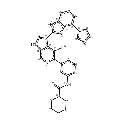 O=C(Nc1cncc(-c2ncc3[nH]nc(-c4nc5c(-c6ccoc6)cccc5[nH]4)c3c2F)c1)C1CCCCC1